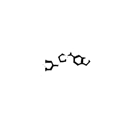 Cc1cc(C[C@H]2CCN(C(C)c3ccc4c(c3)OCC4)C2)cc(C(F)(F)F)n1